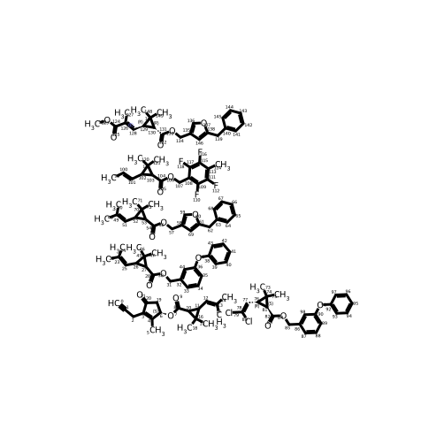 C#CCC1=C(C)[C@@H](OC(=O)C2C(C=C(C)C)C2(C)C)CC1=O.CC(C)=CC1C(C(=O)OCc2cccc(Oc3ccccc3)c2)C1(C)C.CC(C)=CC1C(C(=O)OCc2coc(Cc3ccccc3)c2)C1(C)C.CC1(C)[C@@H](C=C(Cl)Cl)[C@@H]1C(=O)OCc1cccc(Oc2ccccc2)c1.CC=CC1C(C(=O)OCc2c(F)c(F)c(C)c(F)c2F)C1(C)C.COC(=O)/C(C)=C/[C@@H]1[C@@H](C(=O)OCc2coc(Cc3ccccc3)c2)C1(C)C